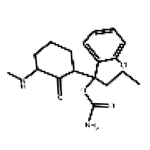 CCCC(OC(N)=O)(c1ccccc1Cl)C1CCCC(NC)C1=O